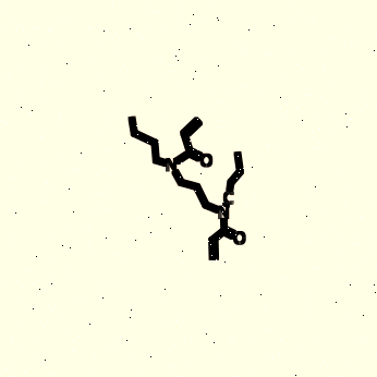 C=CC(=O)N(CCCC)CCCN(CCCC)C(=O)C=C